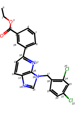 CCOC(=O)c1cccc(-c2ccc3ncn(Cc4ccc(Cl)cc4Cl)c3n2)c1